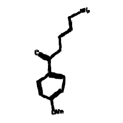 COc1ccc(C(=O)CCCCN)cc1